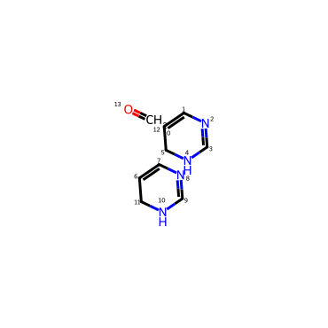 C1=CN=CNC1.C1=CN=CNC1.C=O